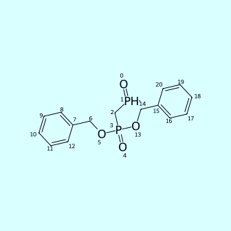 O=[PH]CP(=O)(OCc1ccccc1)OCc1ccccc1